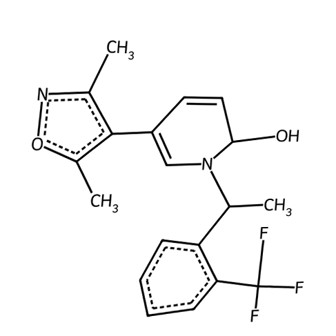 Cc1noc(C)c1C1=CN(C(C)c2ccccc2C(F)(F)F)C(O)C=C1